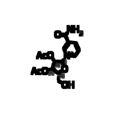 CC(=O)O[C@@H]1[C@H](OC(C)=O)[C@@H](CO)O[C@H]1[n+]1cccc(C(N)=O)c1